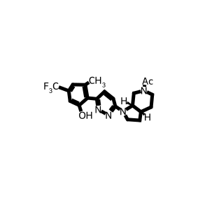 CC(=O)N1CC[C@@H]2CCN(c3ccc(-c4c(C)cc(C(F)(F)F)cc4O)nn3)[C@@H]2C1